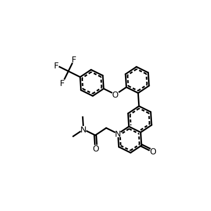 CN(C)C(=O)Cn1ccc(=O)c2ccc(-c3ccccc3Oc3ccc(C(F)(F)F)cc3)cc21